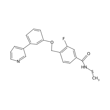 CSNC(=O)c1ccc(COc2cccc(-c3cccnc3)c2)c(F)c1